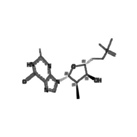 C=P(C)(C)CC[C@H]1O[C@@H](n2cnc3c(=O)[nH]c(C)nc32)[C@H](C)[C@@H]1O